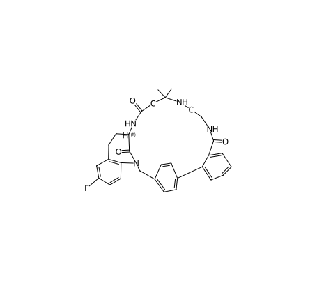 CC1(C)CC(=O)N[C@@H]2CCc3cc(F)ccc3N(Cc3ccc(cc3)-c3ccccc3C(=O)NCCN1)C2=O